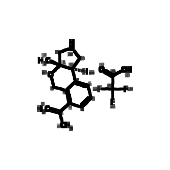 C=C(C)c1cccc2c1CO[C@]1(C)CNC[C@@H]21.O=C(O)C(F)(F)F